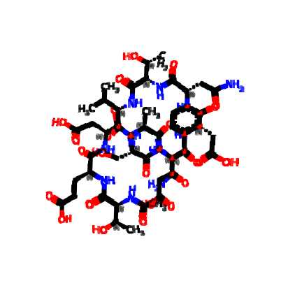 CC(=O)N[C@H](C(=O)N[C@@H](CCC(=O)O)C(=O)N[C@@H](CC(=O)O)C(=O)N[C@@H](C)C(=O)N[C@@H](CCC(=O)O)C(=O)N[C@@H](CC(=O)O)C(=O)N[C@@H](CC(N)=O)C(=O)N[C@H](C(=O)N[C@H](C(=O)N[C@@H](CO)C(=O)N[C@@H](Cc1ccccc1)C(N)=O)C(C)C)[C@@H](C)O)[C@@H](C)O